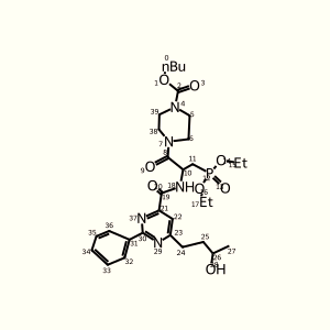 CCCCOC(=O)N1CCN(C(=O)C(CP(=O)(OCC)OCC)NC(=O)c2cc(CCC(C)O)nc(-c3ccccc3)n2)CC1